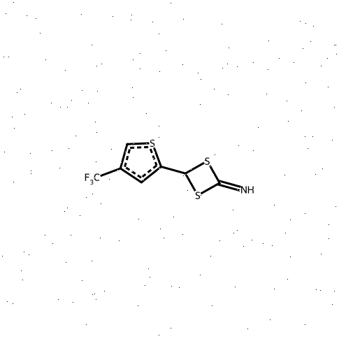 N=C1SC(c2cc(C(F)(F)F)cs2)S1